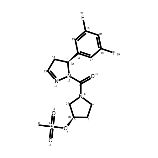 CS(=O)(=O)O[C@@H]1CCN(C(=O)N2N=CC[C@H]2c2cc(F)cc(F)c2)C1